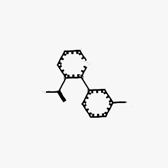 NC(=O)c1cccnc1-c1cccc(Cl)c1